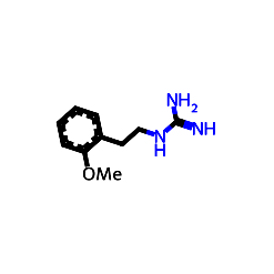 COc1ccccc1CCNC(=N)N